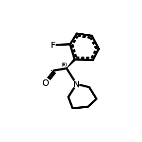 O=[C][C@@H](c1ccccc1F)N1CCCCC1